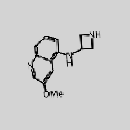 COc1cnc2cccc(NC3CNC3)c2c1